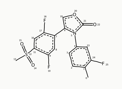 Cc1ccc(-n2c(-c3cc(F)c(S(C)(=O)=O)cc3F)coc2=O)cc1F